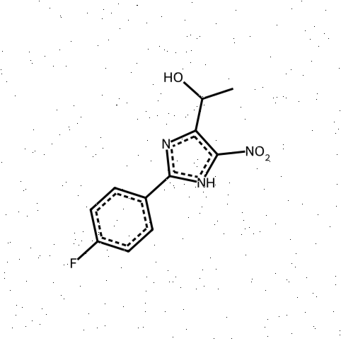 CC(O)c1nc(-c2ccc(F)cc2)[nH]c1[N+](=O)[O-]